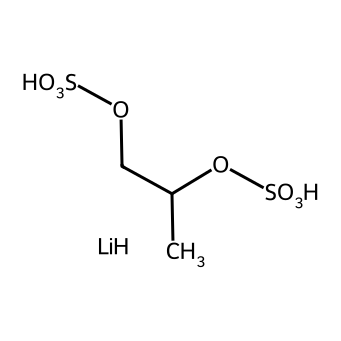 CC(COS(=O)(=O)O)OS(=O)(=O)O.[LiH]